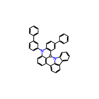 c1ccc(-c2cccc(N3c4ccc(-c5ccccc5)cc4B4c5c(cccc53)-c3cccc5c6ccccc6n4c35)c2)cc1